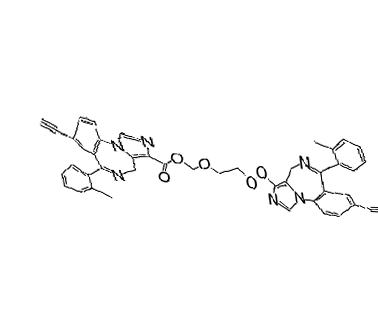 C#Cc1ccc2c(c1)C(c1ccccc1C)=NCc1c(OOCCOCOC(=O)c3ncn4c3CN=C(c3ccccc3C)c3cc(C#C)ccc3-4)ncn1-2